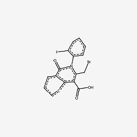 O=C(O)c1c(CBr)n(-c2ccccc2F)c(=O)c2ccccc12